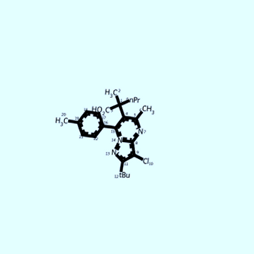 CCCC(C)(C(=O)O)c1c(C)nc2c(Cl)c(C(C)(C)C)nn2c1-c1ccc(C)cc1